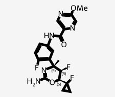 COc1cnc(C(=O)Nc2ccc(F)c([C@@]3(C)N=C(N)O[C@H](C4(F)CC4)[C@@H]3F)c2)cn1